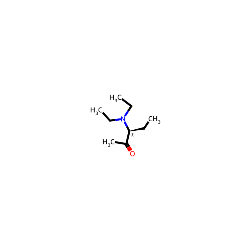 CC[C@@H](C(C)=O)N(CC)CC